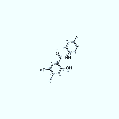 Cc1ccc(NC(=O)c2cc(F)c(F)cc2O)cc1